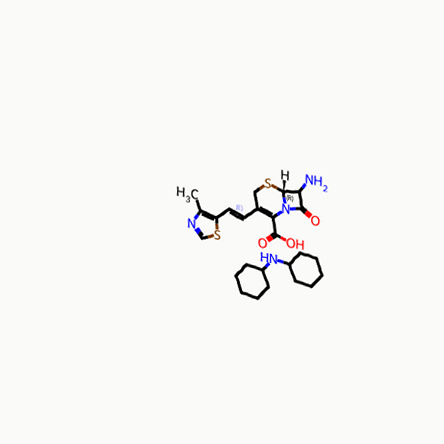 C1CCC(NC2CCCCC2)CC1.Cc1ncsc1/C=C/C1=C(C(=O)O)N2C(=O)C(N)[C@H]2SC1